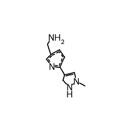 CN1C=C(c2ccc(CN)cn2)CN1